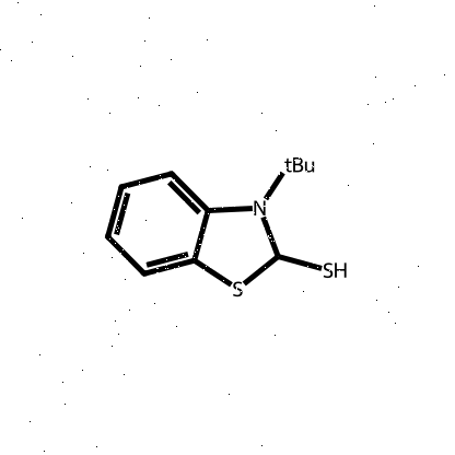 CC(C)(C)N1c2ccccc2SC1S